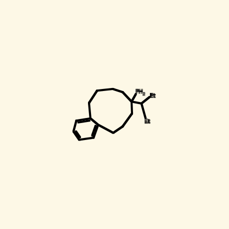 CCC(CC)C1(P)CCCCc2ccccc2CCC1